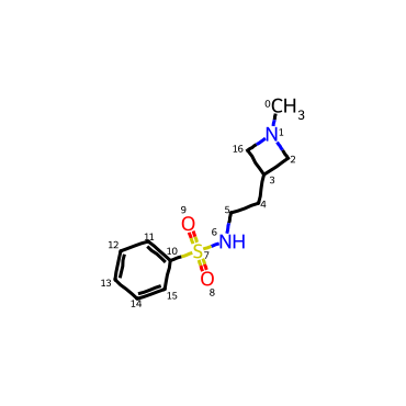 CN1CC(CCNS(=O)(=O)c2ccccc2)C1